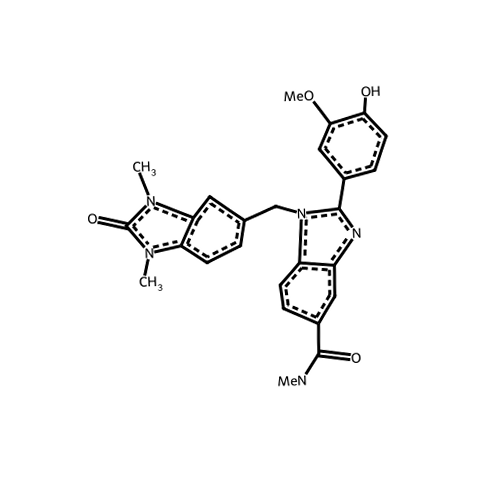 CNC(=O)c1ccc2c(c1)nc(-c1ccc(O)c(OC)c1)n2Cc1ccc2c(c1)n(C)c(=O)n2C